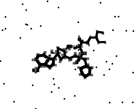 CCC(CC)COC(=O)[C@H](C)NP(=O)(OC[C@H]1O[C@@](C)(c2ccc3c(N)ncnn23)C[C@@H]1O)Oc1ccccc1